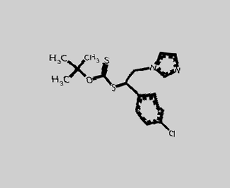 CC(C)(C)OC(=S)SC(Cn1ccnc1)c1ccc(Cl)cc1